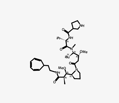 CC[C@H](C)[C@@H]([C@@H](CC(=O)N1CCC[C@H]1[C@H](OC)[C@@H](C)C(=O)NCCC1C=CC=CC=C1)OC)N(C)C(=O)[C@@H](NC(=O)C1CCNC1)C(C)C